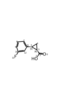 O=C(O)[C@@H]1C[C@@H]1c1cccc(F)c1